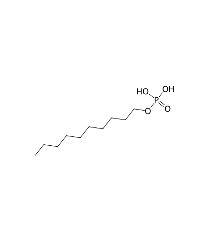 CCCCCCCCCCOP(=O)(O)O